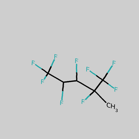 CC(F)(C(F)C(F)C(F)(F)F)C(F)(F)F